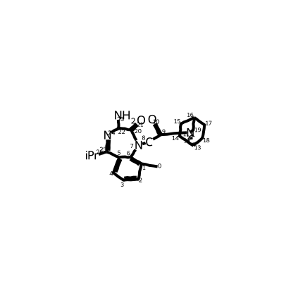 Cc1cccc2c1N(CC(=O)N1CC3CCC(CC3)C1)C(=O)C(N)N=C2C(C)C